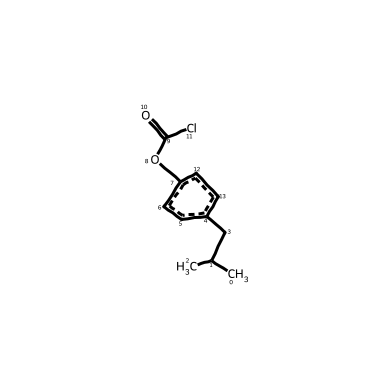 CC(C)Cc1ccc(OC(=O)Cl)cc1